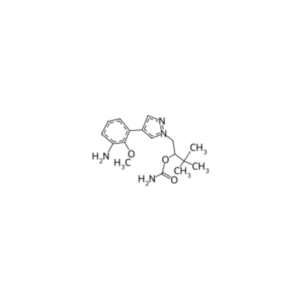 COc1c(N)cccc1-c1cnn(CC(OC(N)=O)C(C)(C)C)c1